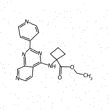 CCOC(=O)C1(Nc2nc(-c3ccncc3)nc3cnccc23)CCC1